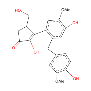 COc1cc(Cc2cc(O)c(OC)cc2C2=C(O)C(=O)CC2CO)ccc1O